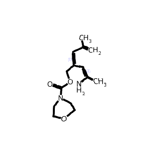 C=C(C)/C=C(\C=C(\C)N)COC(=O)N1CCOCC1